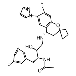 CC(=O)N[C@@H](Cc1cccc(F)c1)[C@@H](O)CN[C@H]1CC2(CCC2)Oc2cc(F)c(-n3cccn3)cc21